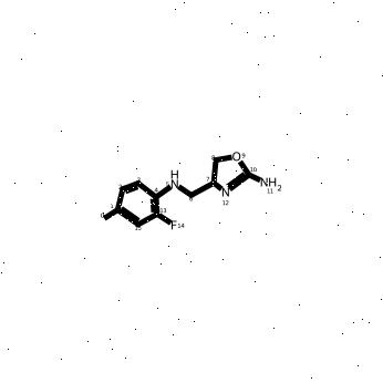 Cc1ccc(NCC2COC(N)=N2)c(F)c1